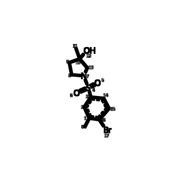 Cc1cc(S(=O)(=O)N2CCC(C)(O)C2)ccc1Br